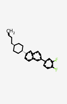 C=CCC[C@H]1CC[C@H](c2ccc3cc(-c4ccc(F)c(F)c4)ccc3c2)CC1